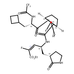 CCOC(=O)/C(F)=C\[C@H](C[C@@H]1CCNC1=O)NC(=O)[C@@H]1[C@@H]2CC[C@@H](CC2(F)F)N1C(=O)[C@H](CC1CCC1)NC(=O)C(F)(F)F